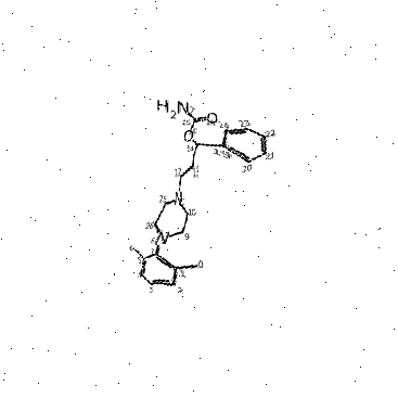 Cc1cccc(C)c1N1CCN(CCC(OC(N)=O)c2ccccc2)CC1